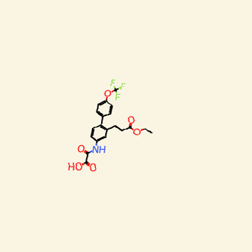 CCOC(=O)CCc1cc(NC(=O)C(=O)O)ccc1-c1ccc(OC(F)(F)F)cc1